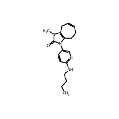 CCCCNc1ccc(-n2c3c(n(C)c2=O)CC=CCC3)cn1